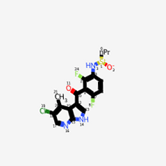 CCC[S+]([O-])Nc1ccc(F)c(C(=O)c2c[nH]c3ncc(Cl)c(C)c23)c1F